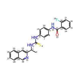 CC(NC(=S)Nc1ccc(NC(=O)c2ccccc2F)cc1)c1cc2ccccc2cn1